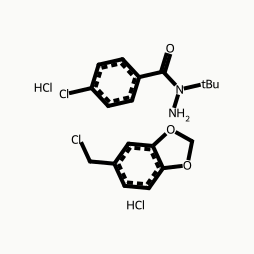 CC(C)(C)N(N)C(=O)c1ccc(Cl)cc1.Cl.Cl.ClCc1ccc2c(c1)OCO2